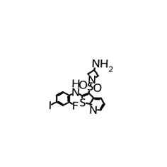 NC1CN(S(=O)(=O)c2c(Nc3ccc(I)cc3F)sc3ncccc23)C1